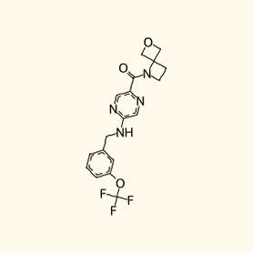 O=C(c1cnc(NCc2cccc(OC(F)(F)F)c2)cn1)N1CCC12COC2